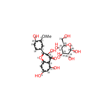 COc1cc(-c2oc3cc(O)cc(O)c3c(=O)c2O)ccc1O.OC[C@H]1O[C@@H](O)[C@H](O)[C@@H](O)[C@@H]1O